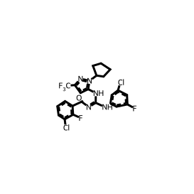 O=C(/N=C(/Nc1cc(F)cc(Cl)c1)Nc1cc(C(F)(F)F)nn1C1CCCC1)c1cccc(Cl)c1F